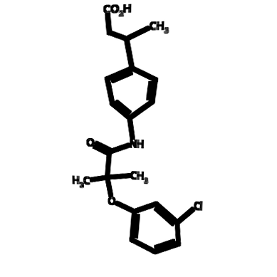 CC(CC(=O)O)c1ccc(NC(=O)C(C)(C)Oc2cccc(Cl)c2)cc1